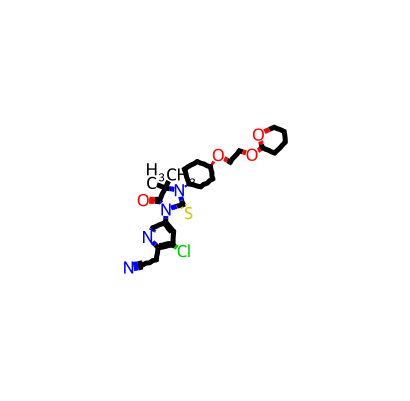 CC1(C)C(=O)N(c2cnc(CC#N)c(Cl)c2)C(=S)N1[C@H]1CC[C@H](OCCOC2CCCCO2)CC1